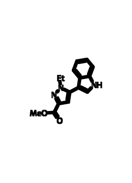 CCn1nc(C(=O)OC)cc1-c1c[nH]c2ccccc12